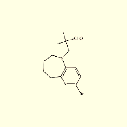 CC(C)(C=O)CN1CCCCc2cc(Br)ccc21